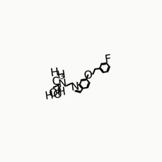 CC(CO)(CO)NCCn1ccc2ccc(OCCc3cccc(F)c3)cc21